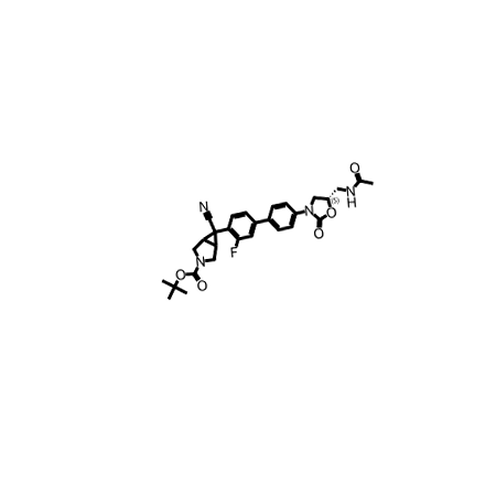 CC(=O)NC[C@H]1CN(c2ccc(-c3ccc(C4(C#N)C5CN(C(=O)OC(C)(C)C)CC54)c(F)c3)cc2)C(=O)O1